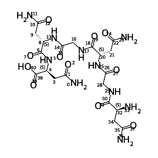 NC(=O)C[C@H](NC(=O)[C@H](CC(N)=O)NC(=O)CNC(=O)[C@H](CC(N)=O)NC(=O)CNC(=O)[C@@H](N)CC(N)=O)C(=O)O